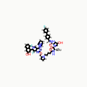 C[C@H](NC(=O)[C@@H]1C[C@@H](O)CN1C(=O)[C@@H](NC(=O)CCCCN1CCC[C@H]1COc1nc(N2CC3CCC(C2)N3)c2cnc(-c3cc(O)cc4cccc(F)c34)c(F)c2n1)C(C)(C)C)c1ccc(-c2ccc(F)cc2)cc1